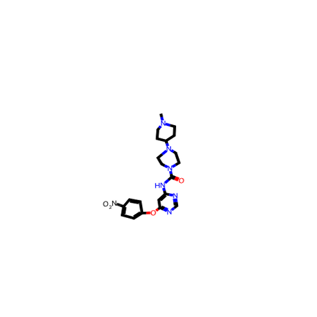 CN1CCC(N2CCN(C(=O)Nc3cc(Oc4ccc([N+](=O)[O-])cc4)ncn3)CC2)CC1